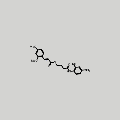 COc1ccc(/C=C/C(=O)OCCCC(=O)Nc2ccc(N)cc2N)c(OC)c1